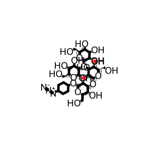 [N-]=[N+]=NC1CCC(O[C@@H]2OC(CO)[C@@H](O)[C@H](O[C@H]3O[C@@H](CO)[C@@H](O)C(O)C3O[C@H]3O[C@@H](CO)[C@@H](O)C(O)C3O[C@H]3O[C@@H](CO)[C@@H](O)C(O)C3O)C2O)CC1